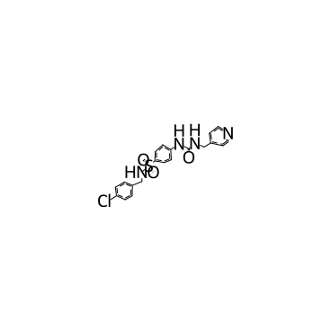 O=C(NCc1ccncc1)Nc1ccc(S(=O)(=O)NCc2ccc(Cl)cc2)cc1